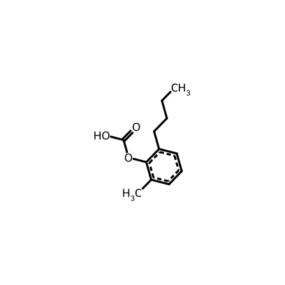 CCCCc1cccc(C)c1OC(=O)O